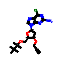 C#CCO[C@@H]1C[C@H](n2cnc3c(Cl)nc(N)nc32)O[C@@H]1CO[Si](C)(C)C(C)(C)C